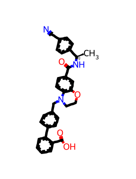 C[C@@H](NC(=O)c1ccc2c(c1)OCCN2Cc1ccc(-c2ccccc2C(=O)O)cc1)c1ccc(C#N)cc1